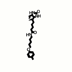 Cc1ccc(OCCCCCNC(=O)CCCCC2SCC3NC(=O)NC32)cc1